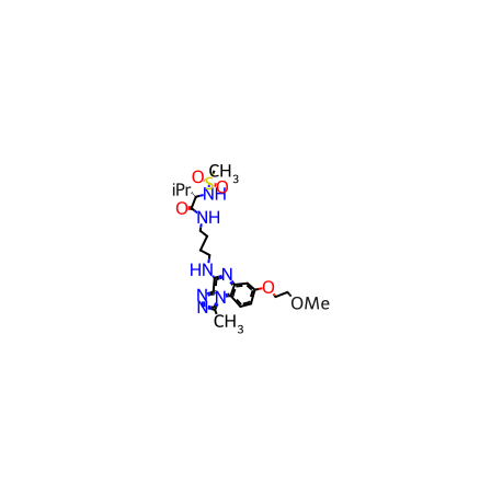 COCCOc1ccc2c(c1)nc(NCCCCNC(=O)[C@@H](NS(C)(=O)=O)C(C)C)c1nnc(C)n12